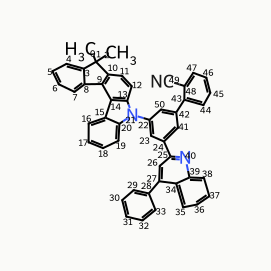 CC1(C)c2ccccc2-c2c1ccc1c2c2ccccc2n1-c1cc(-c2cc(-c3ccccc3)c3ccccc3n2)cc(-c2ccccc2C#N)c1